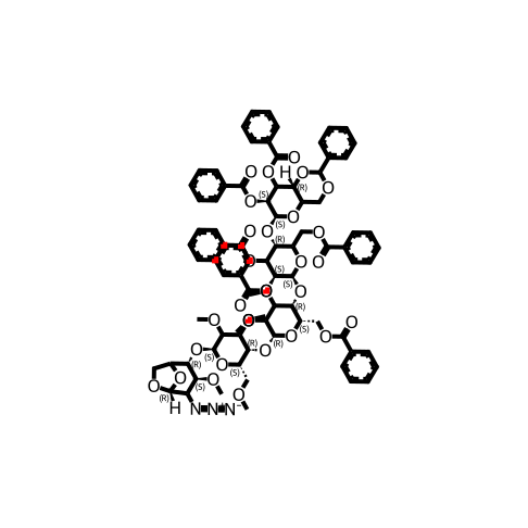 COC[C@@H]1O[C@@H](O[C@H]2C3CO[C@H](O3)C(N=[N+]=[N-])[C@@H]2OC)C(OC)C(OC)[C@@H]1O[C@H]1O[C@@H](COC(=O)c2ccccc2)[C@@H](O[C@@H]2OC(COC(=O)c3ccccc3)[C@@H](O[C@@H]3OC4COC(c5ccccc5)O[C@H]4C(OC(=O)c4ccccc4)[C@@H]3OC(=O)c3ccccc3)C(OC(=O)c3ccccc3)[C@@H]2OC(=O)c2ccccc2)C(OC)C1OC